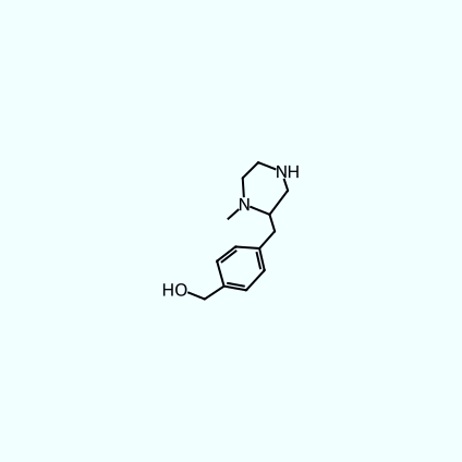 CN1CCNCC1Cc1ccc(CO)cc1